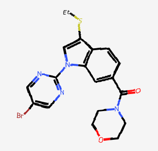 CCSc1cn(-c2ncc(Br)cn2)c2cc(C(=O)N3CCOCC3)ccc12